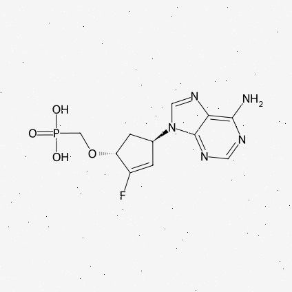 Nc1ncnc2c1ncn2[C@H]1C=C(F)[C@H](OCP(=O)(O)O)C1